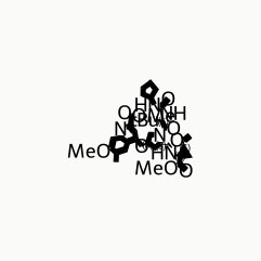 C=C[C@@H]1C[C@]1(NC(=O)[C@@H]1C[C@@H](Oc2cc(C(=O)OC)nc3cc(OC)c(C)cc23)CN1C(=O)[C@@H](NC(=O)NC1CCCC1)C(C)(C)C)C(=O)OC